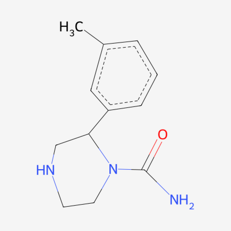 Cc1cccc(C2CNCCN2C(N)=O)c1